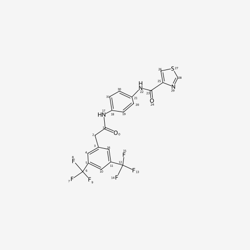 O=C(Cc1cc(C(F)(F)F)cc(C(F)(F)F)c1)Nc1ccc(NC(=O)c2cscn2)cc1